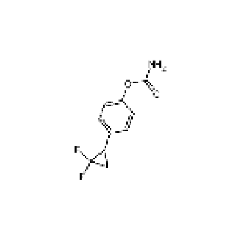 NC(=O)Oc1ccc(C2CC2(F)F)cc1